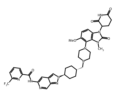 COc1ccc2c(c1N1CCN(C[C@H]3CC[C@H](n4cc5cc(NC(=O)c6cccc(C(F)(F)F)n6)ncc5n4)CC3)CC1)n(C)c(=O)n2C1CCC(=O)NC1=O